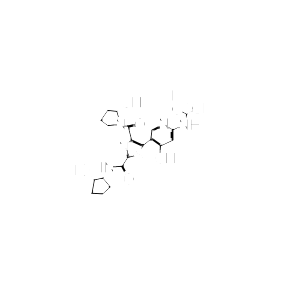 Cc1cc(N[C@@H](C)C(F)(F)F)ncc1-c1sc(C(=O)N[C@@H]2CCC[C@H]2O)nc1C(=O)N1CCC[C@@H]1C